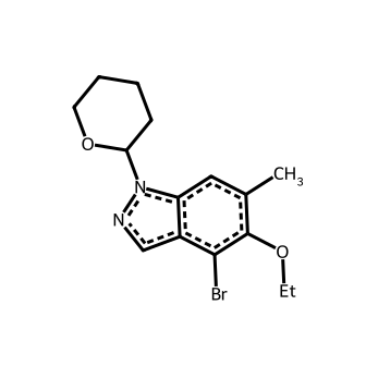 CCOc1c(C)cc2c(cnn2C2CCCCO2)c1Br